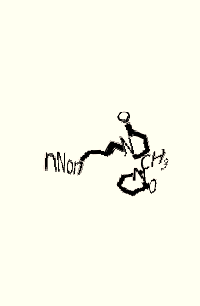 CCCCCCCCCCCCN1CCCC1=O.CN1CCCC1=O